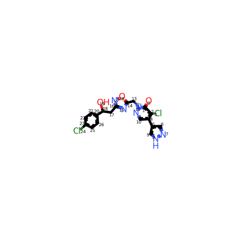 O=c1c(Cl)c(-c2cn[nH]c2)cnn1Cc1nc(CC(O)c2ccc(Cl)cc2)no1